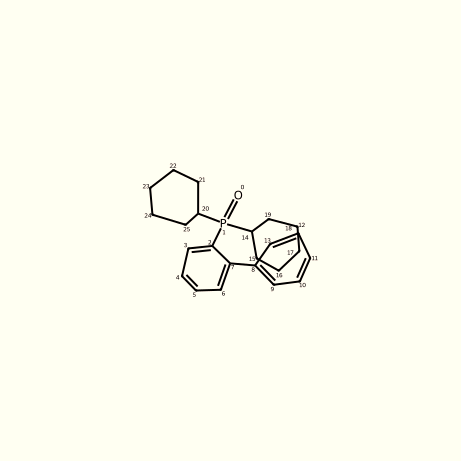 O=P(c1ccccc1-c1ccccc1)(C1CCCCC1)C1CCCCC1